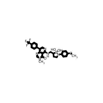 COc1ccc(N2CCC(CNc3ncc(-c4ccc(C(F)(F)F)cc4)c4ncn(C)c(=O)c34)S2(O)O)cc1